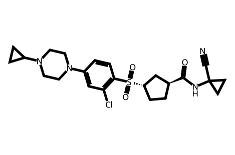 N#CC1(NC(=O)[C@H]2CC[C@H](S(=O)(=O)c3ccc(N4CCN(C5CC5)CC4)cc3Cl)C2)CC1